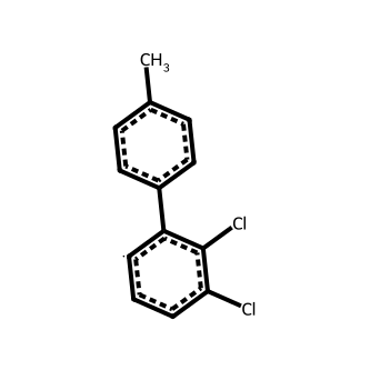 Cc1ccc(-c2[c]ccc(Cl)c2Cl)cc1